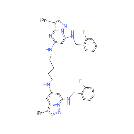 CC(C)c1cnn2c(NCc3ccccc3F)cc(NCCCCCNc3cc(NCc4ccccc4F)n4ncc(C(C)C)c4n3)cc12